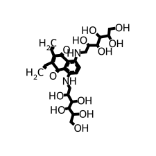 C=CC1=C(C=C)C(=O)c2c(NCC(O)C(O)C(O)C(O)CO)ccc(NCC(O)C(O)C(O)C(O)CO)c2C1=O